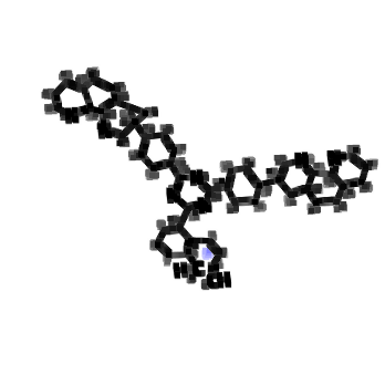 C#C/C=C\c1c(C)cccc1-c1nc(-c2ccc(-c3cnc4c(ccc5cccnc54)c3)cc2)nc(-c2ccc(C34C=Nc5c(ccc6cccnc56)C3C4)cc2)n1